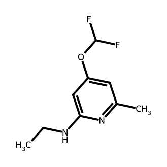 CCNc1cc(OC(F)F)cc(C)n1